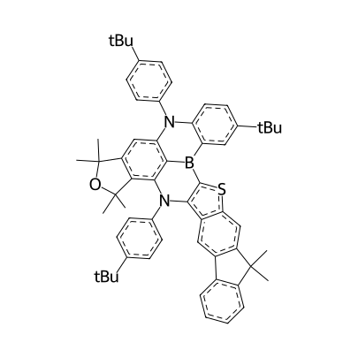 CC(C)(C)c1ccc(N2c3ccc(C(C)(C)C)cc3B3c4sc5cc6c(cc5c4N(c4ccc(C(C)(C)C)cc4)c4c3c2cc2c4C(C)(C)OC2(C)C)-c2ccccc2C6(C)C)cc1